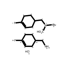 CC(C)(C)N(CC1CC=C(F)CC1)C(=O)O.Cl.NCC1CC=C(F)CC1